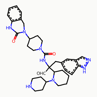 O=CC(Cc1ccc2[nH]ncc2c1)(NC(=O)N1CCC(N2Cc3ccccc3NC2=O)CC1)C1CCCCN1C1CCNCC1